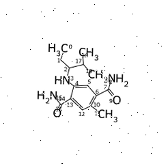 CCC(Nc1cc(C(N)=O)c(C)cc1C(N)=O)C(C)C